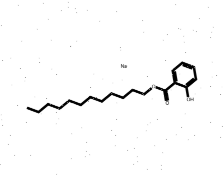 CCCCCCCCCCCCOC(=O)c1ccccc1O.[Na]